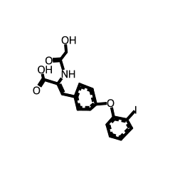 O=C(CO)NC(=Cc1ccc(Oc2ccccc2I)cc1)C(=O)O